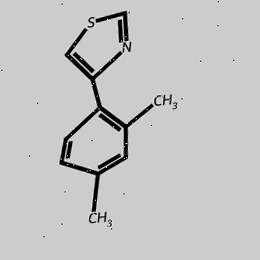 Cc1ccc(-c2cs[c]n2)c(C)c1